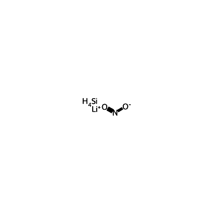 O=N[O-].[Li+].[SiH4]